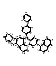 c1ccc(-c2ccc(N(c3ccc(-c4cccc5ccccc45)cc3)c3cc4c5cccnc5oc4c4ccccc34)cc2)cc1